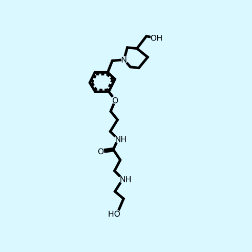 O=C(CCNCCO)NCCCOc1cccc(CN2CCCC(CO)C2)c1